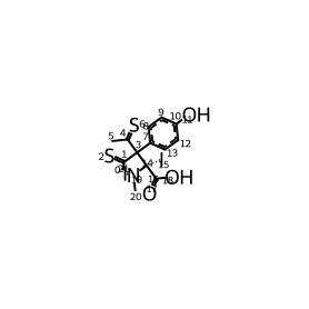 CC(=S)C(C(C)=S)(c1ccc(O)cc1)[C@@](I)(C(=O)O)N(C)I